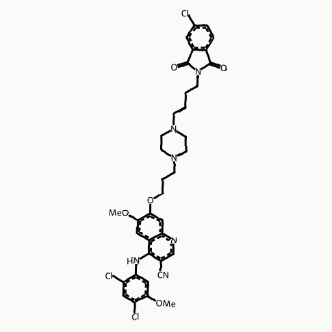 COc1cc(Nc2c(C#N)cnc3cc(OCCCN4CCN(CCCCN5C(=O)c6ccc(Cl)cc6C5=O)CC4)c(OC)cc23)c(Cl)cc1Cl